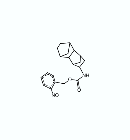 O=Nc1ccccc1COC(=O)NC1CC2CC1C1C3CCC(C3)C21